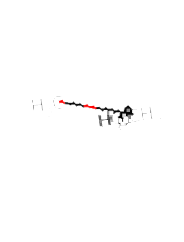 CCCCCCCCCCCCCCCCCCCCC(C(=O)O)c1cccc(C)c1C